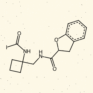 O=C(I)NC1(CNC(=O)C2Cc3ccccc3O2)CCC1